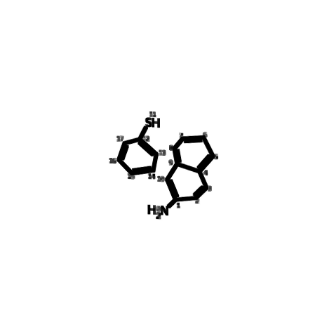 Nc1ccc2ccccc2c1.Sc1ccccc1